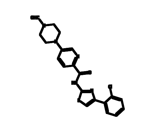 O=CN1CCN(c2ccc(C(=O)Nc3nc(-c4ccccc4Cl)cs3)nc2)CC1